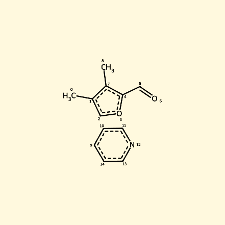 Cc1coc(C=O)c1C.c1ccncc1